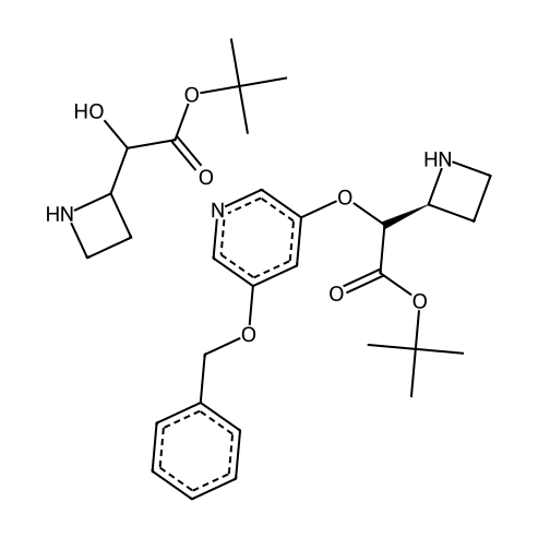 CC(C)(C)OC(=O)C(O)C1CCN1.CC(C)(C)OC(=O)C(Oc1cncc(OCc2ccccc2)c1)[C@@H]1CCN1